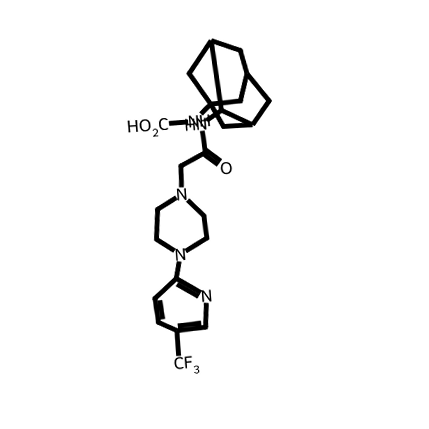 O=C(O)NC12CC3CC(C1)C(NC(=O)CN1CCN(c4ccc(C(F)(F)F)cn4)CC1)C(C3)C2